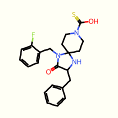 O=C1C(Cc2ccccc2)NC2(CCN(C(O)=S)CC2)N1Cc1ccccc1F